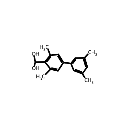 Cc1cc(C)cc(-c2cc(C)c(C(O)O)c(C)c2)c1